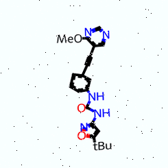 COc1ncncc1C#Cc1cccc(NC(=O)Nc2cc(C(C)(C)C)on2)c1